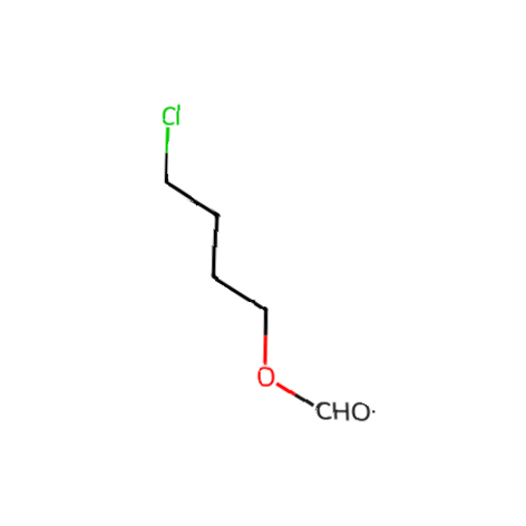 O=[C]OCCCCCl